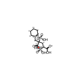 O=C(O)C(CC(CN1CCCCC1)(C(=O)O)P(=O)(O)O)P(=O)(O)O